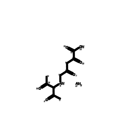 CC(=O)[CH]([AlH][CH2]C(=O)CC(=O)C(=O)O)C(C)=O.[AlH3]